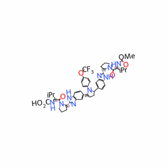 COC(=O)N[C@H](C(=O)N1CCC[C@H]1c1nc2cc(C3CC[C@H](c4ccc5[nH]c([C@@H]6CCCN6C(=O)[C@@H](NC(=O)O)C(C)C)nc5c4)N3c3ccc(OC(F)(F)F)cc3)ccc2[nH]1)C(C)C